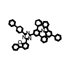 C1=CCCC(c2cc(-c3nc(C4=CCC(c5ccccc5)C=C4)nc(-c4cccc5c4oc4ccccc45)n3)cc(-c3ccccc3)c2-n2c3ccccc3c3cc(-c4ccccc4)ccc32)=C1